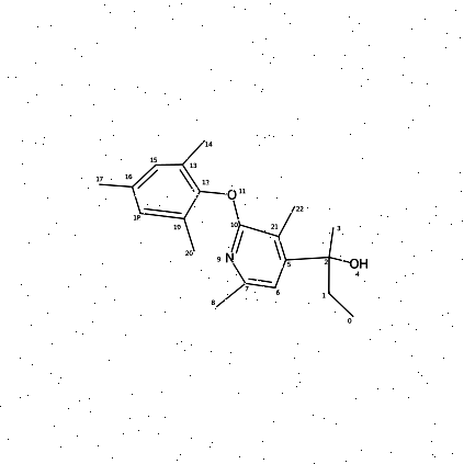 CCC(C)(O)c1cc(C)nc(Oc2c(C)cc(C)cc2C)c1C